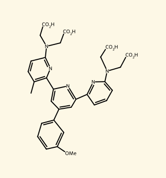 COc1cccc(-c2cc(-c3cccc(N(CC(=O)O)CC(=O)O)n3)nc(-c3nc(N(CC(=O)O)CC(=O)O)ccc3C)c2)c1